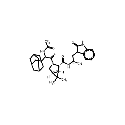 CC1(C)[C@@H]2[C@@H](C(=O)N[C@H](C#N)CC3C(=O)Nc4ccccc43)N(C(=O)C(NC(=O)C(F)(F)F)C34CC5CC(CC(C5)C3)C4)C[C@@H]21